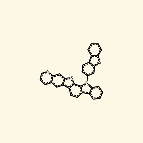 c1cnc2cc3sc4c(ccc5c6ccccc6n(-c6ccc7c(c6)sc6ccccc67)c54)c3cc2c1